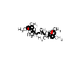 C[C@@H]1CC[C@H]2C(CN(C)CCCN(C)CCCN(C)CC3=C(C(F)(F)F)O[C@@H]4O[C@]5(C)CCC6[C@H](C)CC[C@@H]3[C@]64OO5)=C(C(F)(F)F)O[C@@H]3O[C@]4(C)CCC1[C@]32OO4